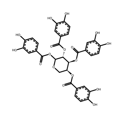 O=C(OC1OC[C@H](OC(=O)c2ccc(O)c(O)c2)[C@H](OC(=O)c2ccc(O)c(O)c2)[C@H]1OC(=O)c1ccc(O)c(O)c1)c1ccc(O)c(O)c1